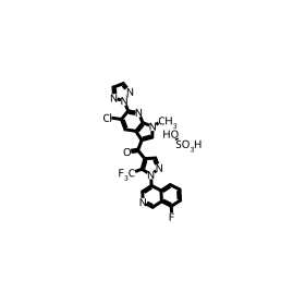 Cn1cc(C(=O)c2cnn(-c3cncc4c(F)cccc34)c2C(F)(F)F)c2cc(Cl)c(-n3nccn3)nc21.O=S(=O)(O)O